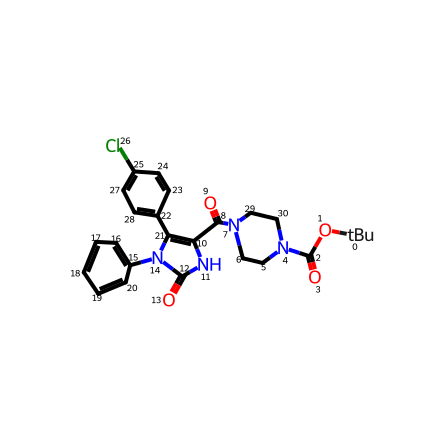 CC(C)(C)OC(=O)N1CCN(C(=O)c2[nH]c(=O)n(-c3ccccc3)c2-c2ccc(Cl)cc2)CC1